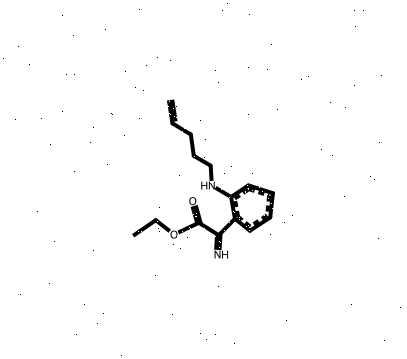 C=CCCCNc1ccccc1C(=N)C(=O)OCC